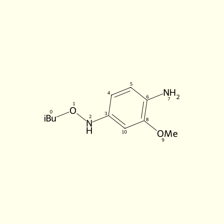 CCC(C)ONc1ccc(N)c(OC)c1